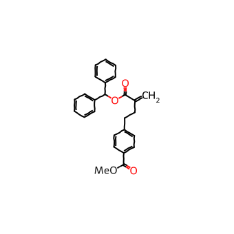 C=C(CCc1ccc(C(=O)OC)cc1)C(=O)OC(c1ccccc1)c1ccccc1